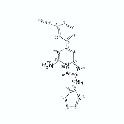 N#Cc1cccc(-c2cc3nc(Nc4ccccn4)nn3c(N)n2)c1